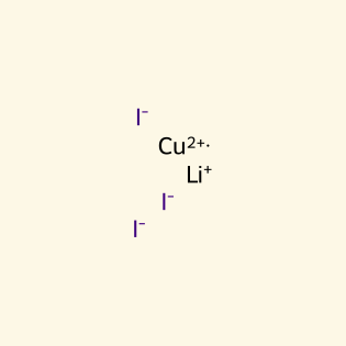 [Cu+2].[I-].[I-].[I-].[Li+]